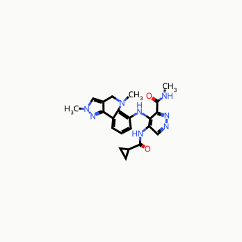 CNC(=O)c1nncc(NC(=O)C2CC2)c1Nc1cccc2c1N(C)Cc1cn(C)nc1-2